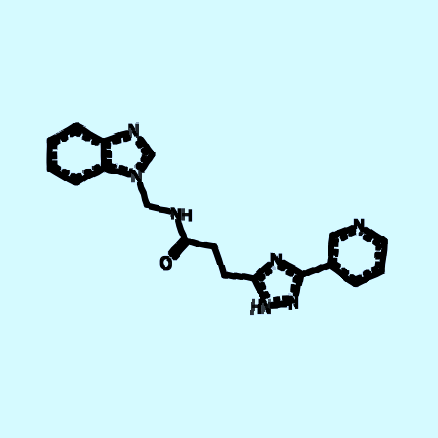 O=C(CCc1nc(-c2cccnc2)n[nH]1)NCn1cnc2ccccc21